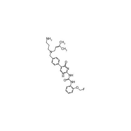 CC(C)=CCN(CCCN)Cc1ccc(-c2c[nH]c(NC(=O)Nc3ccccc3OCF)nc2=O)cc1